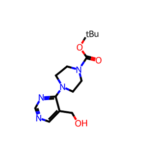 CC(C)(C)OC(=O)N1CCN(c2ncncc2CO)CC1